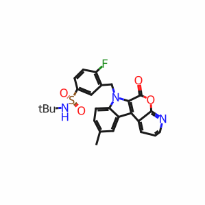 Cc1ccc2c(c1)c1c3cccnc3oc(=O)c1n2Cc1cc(S(=O)(=O)NC(C)(C)C)ccc1F